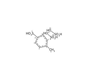 Cc1ccc(S(=O)(=O)O)cc1.O=S(=O)(O)O.O=S(=O)(O)O